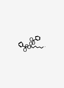 [CH2]CCCCC[C](OOC(=O)c1ccccc1)OOC(=O)c1ccccc1